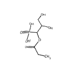 CCC(=O)OC(C(O)CO)P(=O)(O)O